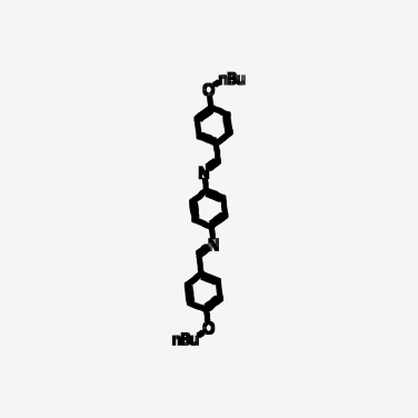 CCCCOc1ccc(C=Nc2ccc(N=Cc3ccc(OCCCC)cc3)cc2)cc1